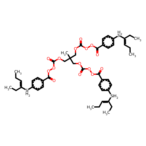 CCC=C(CC)[SiH2]c1ccc(C(=O)OOC(=O)OCC(C)(COC(=O)OOC(=O)c2ccc([SiH2]C(=CCC)CC)cc2)COC(=O)OOC(=O)c2ccc([SiH2]C(=CCC)CC)cc2)cc1